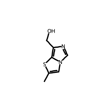 Cc1cn2cnc(CO)c2s1